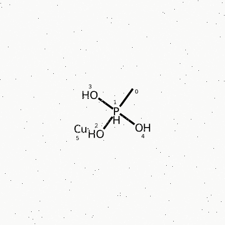 C[PH](O)(O)O.[Cu]